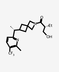 CC[C@H](CO)C(=O)N1CC2(CC([C@@H](C)c3ccc(C(F)(F)F)c(C)n3)C2)C1